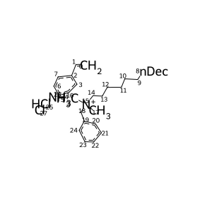 C=Cc1ccccc1.CCCCCCCCCCCCCCCC[N+](C)(C)Cc1ccccc1.Cl.N.[Cl-]